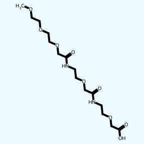 COCCOCCOCC(=O)NCCOCC(=O)NCCOCC(=O)O